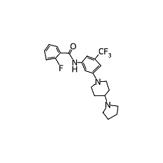 O=C(Nc1cc(N2CCC(N3CCCC3)CC2)cc(C(F)(F)F)c1)c1ccccc1F